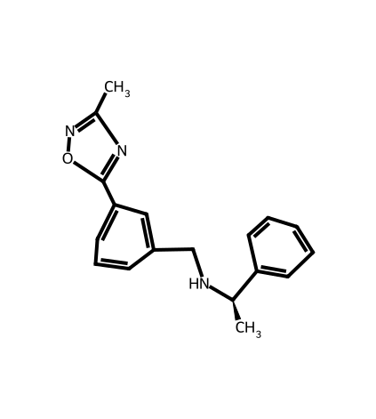 Cc1noc(-c2cccc(CN[C@H](C)c3ccccc3)c2)n1